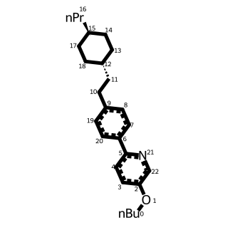 CCCCOc1ccc(-c2ccc(CC[C@H]3CC[C@H](CCC)CC3)cc2)nc1